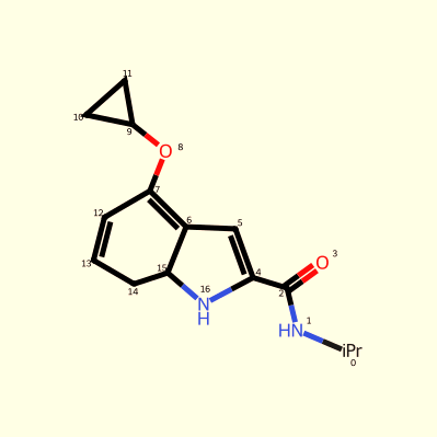 CC(C)NC(=O)C1=CC2=C(OC3CC3)C=CCC2N1